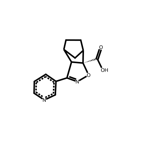 O=C(O)[C@]12ON=C(c3cccnc3)C1C1CCC2C1